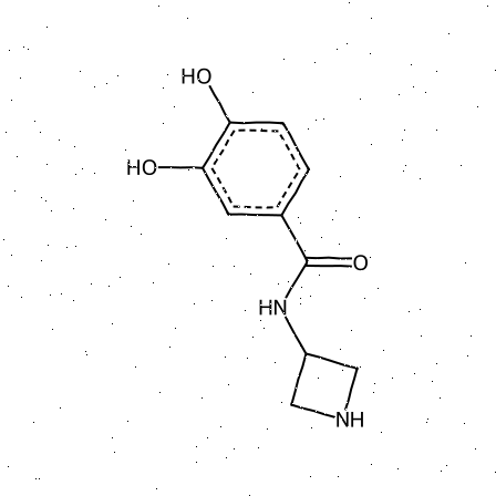 O=C(NC1CNC1)c1ccc(O)c(O)c1